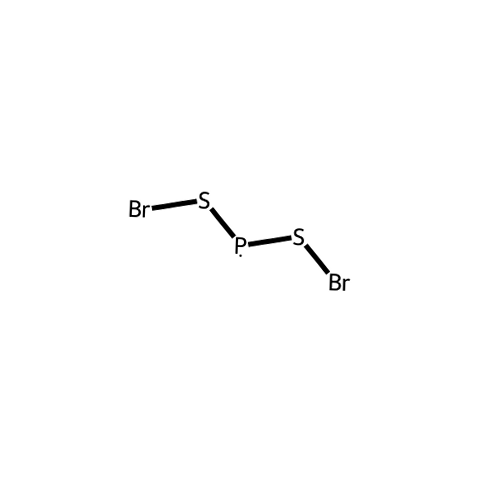 BrS[P]SBr